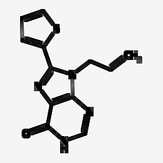 C=CCn1c(-c2cccs2)nc2c(=O)[nH]cnc21